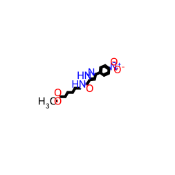 COC(=O)CCCCCNC(=O)c1cc(-c2ccc([N+](=O)[O-])cc2)n[nH]1